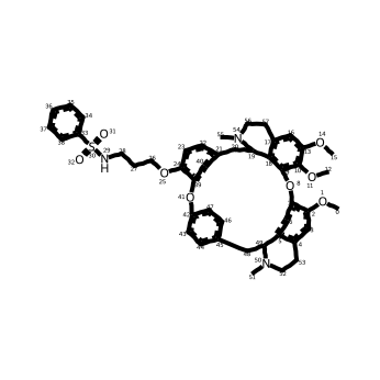 COc1cc2c3cc1Oc1c(OC)c(OC)cc4c1C(Cc1ccc(OCCCNS(=O)(=O)c5ccccc5)c(c1)Oc1ccc(cc1)CC3N(C)CC2)N(C)CC4